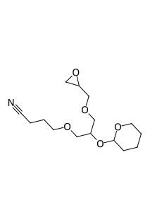 N#CCCCOCC(COCC1CO1)OC1CCCCO1